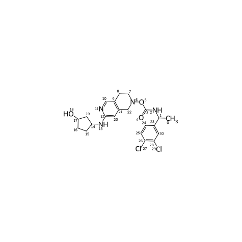 CC(NC(=O)ON1CCc2cnc(NC3CCC(O)C3)cc2C1)c1ccc(Cl)c(Cl)c1